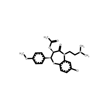 COc1ccc([C@@H]2Sc3ccc(Cl)cc3N(CCN(C)C)C(=O)[C@@H]2OC(C)=O)cc1